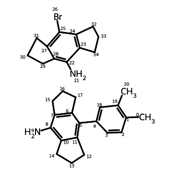 Cc1ccc(-c2c3c(c(N)c4c2CCC4)CCC3)cc1C.Nc1c2c(c(Br)c3c1CCC3)CCC2